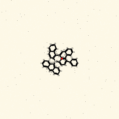 c1ccc(-c2ccc(N(c3ccc4ccccc4c3-c3ccc4ccccc4c3)c3c4ccccc4cc4ccccc34)cc2)cc1